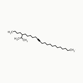 [CH2]CCCCCCCCCCCC#CCCCCCC(CCC[CH2])C(C)C